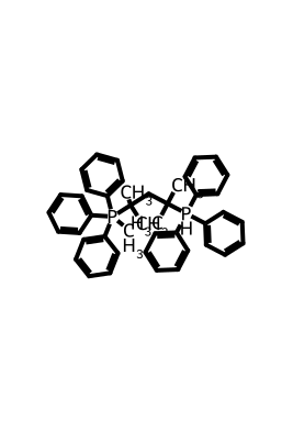 CC(C)(CC(C)(C)P(C)(c1ccccc1)(c1ccccc1)c1ccccc1)[PH](c1ccccc1)(c1ccccc1)c1ccccc1